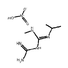 CN/C(=N\C(C)C)NC(=N)N.O=[N+]([O-])O